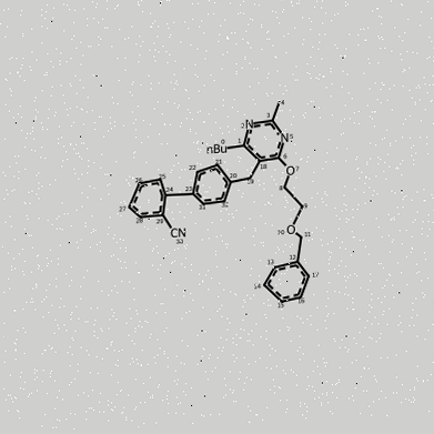 CCCCc1nc(C)nc(OCCOCc2ccccc2)c1Cc1ccc(-c2ccccc2C#N)cc1